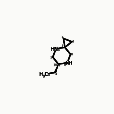 CC[C@H]1CNC2(CC2)CN1